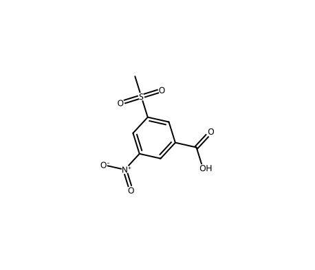 CS(=O)(=O)c1cc(C(=O)O)cc([N+](=O)[O-])c1